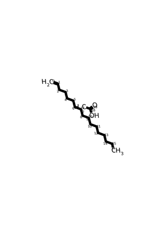 C=CCCCCCCCCCCCCCCC.CC(=O)O